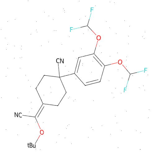 CC(C)(C)OC(C#N)=C1CCC(C#N)(c2ccc(OC(F)F)c(OC(F)F)c2)CC1